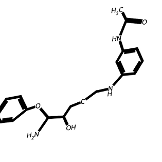 CC(=O)Nc1cccc(NCCCC(O)C(N)Oc2ccccc2)c1